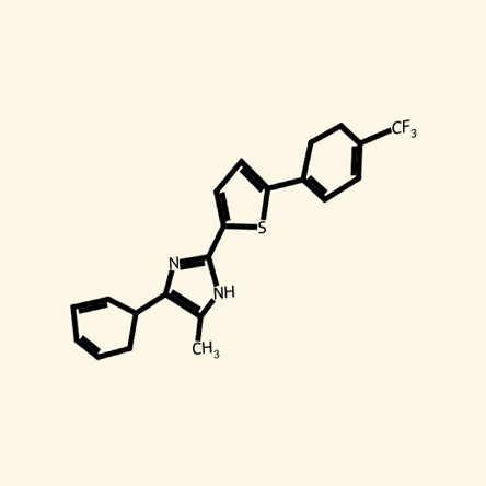 Cc1[nH]c(-c2ccc(C3=CC=C(C(F)(F)F)CC3)s2)nc1C1C=CC=CC1